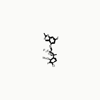 COc1c(C(C)(C)CC(O)(C=Nc2cc(F)cc3nc(C)ncc23)C(F)(F)F)ccc(Cl)c1F